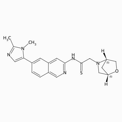 Cc1ncc(-c2ccc3cnc(NC(=S)CN4C[C@@H]5C[C@H]4CO5)cc3c2)n1C